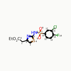 CCOC(=O)Cc1csc(NS(=O)(=O)c2ccc(F)c(Cl)c2)n1